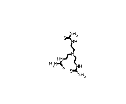 NC(=S)NCCN(CCNC(N)=S)CCNC(N)=S